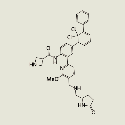 COc1nc(-c2cc(C3C=CC=C(c4ccccc4)C3(Cl)Cl)ccc2NC(=O)C2CNC2)ccc1CNCC1CCC(=O)N1